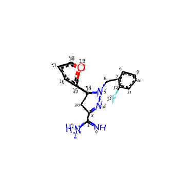 N=C(N)C1=NN(Cc2ccccc2F)C(c2ccco2)C1